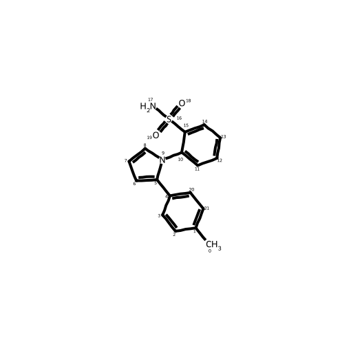 Cc1ccc(-c2cccn2-c2ccccc2S(N)(=O)=O)cc1